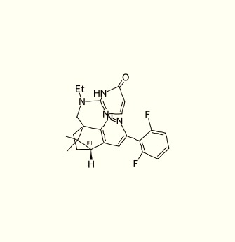 CCN(CC12CC[C@@H](c3cc(-c4c(F)cccc4F)nnc31)C2(C)C)c1nccc(=O)[nH]1